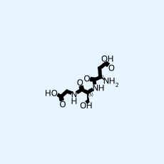 N[C@@H](CC(=O)O)C(=O)N[C@@H](CO)C(=O)NCC(=O)O